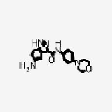 Nc1ccc2[nH]nc(C(=O)Nc3ccc(N4CCOCC4)cc3)c2c1